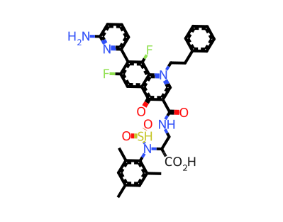 Cc1cc(C)c(N(C(CNC(=O)c2cn(CCc3ccccc3)c3c(F)c(-c4cccc(N)n4)c(F)cc3c2=O)C(=O)O)[SH](=O)=O)c(C)c1